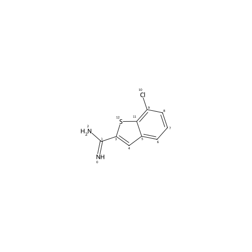 N=C(N)c1cc2cccc(Cl)c2s1